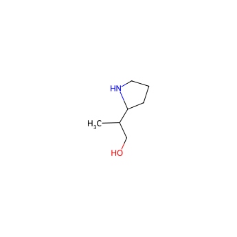 CC(CO)C1CCCN1